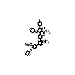 COc1cc(-c2cnc(N)c(-c3ccc(-c4c(C(N)=O)c(=O)c(-c5ccc(C)cc5)cn4CC4CCOCC4)cc3)c2)ccc1OC[C@H]1COCCO1.CS(=O)(=O)O.O